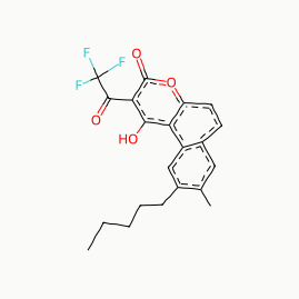 CCCCCc1cc2c(ccc3oc(=O)c(C(=O)C(F)(F)F)c(O)c32)cc1C